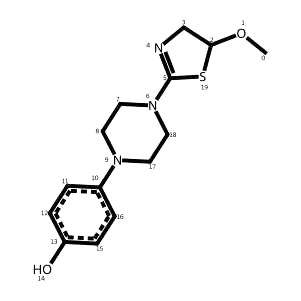 COC1CN=C(N2CCN(c3ccc(O)cc3)CC2)S1